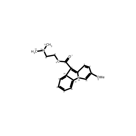 COc1ccc2c(C(=O)OCCN(C)C)c3ccccc3n2c1